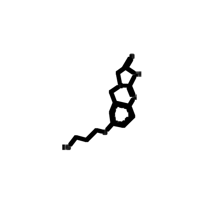 O=C1CN2Cc3cc(OCCCO)ccc3N=C2N1